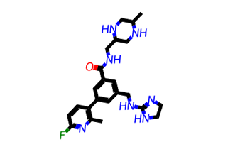 Cc1nc(F)ccc1-c1cc(CNC2=NCCN2)cc(C(=O)NCC2CNC(C)CN2)c1